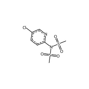 CS(=O)(=O)N(c1ccc(Cl)cn1)S(C)(=O)=O